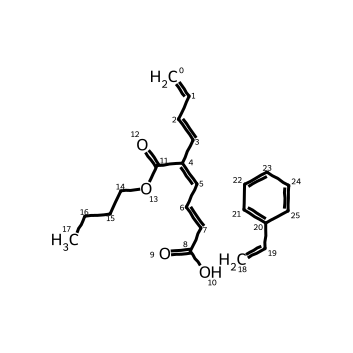 C=CC=CC(=CC=CC(=O)O)C(=O)OCCCC.C=Cc1ccccc1